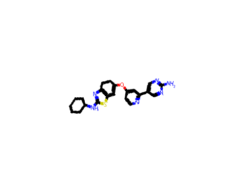 Nc1ncc(-c2cc(Oc3ccc4nc(NC5CCCCC5)sc4c3)ccn2)cn1